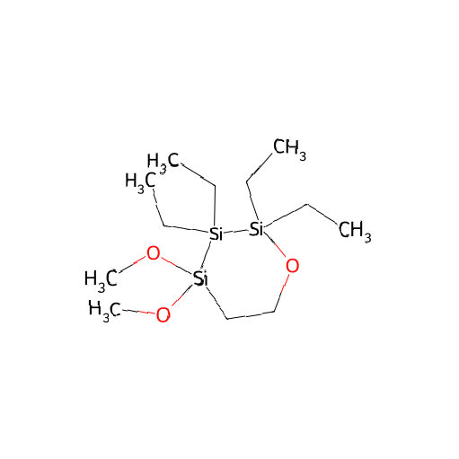 CC[Si]1(CC)OCC[Si](OC)(OC)[Si]1(CC)CC